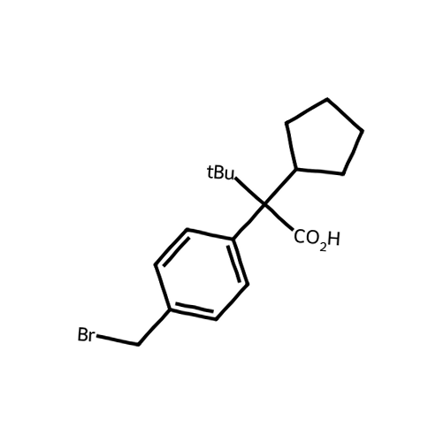 CC(C)(C)C(C(=O)O)(c1ccc(CBr)cc1)C1CCCC1